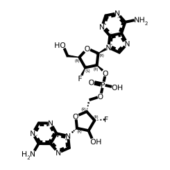 Nc1ncnc2c1ncn2[C@@H]1O[C@H](COP(=O)(O)O[C@H]2[C@@H](F)[C@@H](CO)O[C@H]2n2cnc3c(N)ncnc32)[C@H](F)C1O